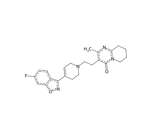 Cc1nc2n(c(=O)c1CCN1CC=C(c3noc4cc(F)ccc34)CC1)CCCC2